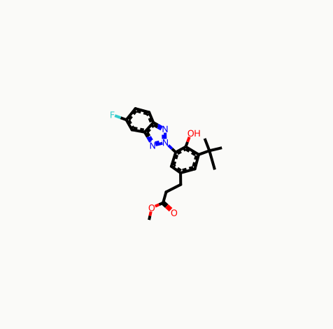 COC(=O)CCc1cc(-n2nc3ccc(F)cc3n2)c(O)c(C(C)(C)C)c1